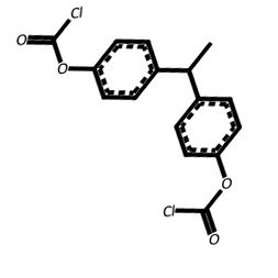 CC(c1ccc(OC(=O)Cl)cc1)c1ccc(OC(=O)Cl)cc1